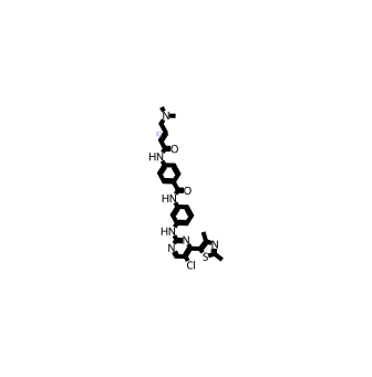 Cc1nc(C)c(-c2nc(Nc3cccc(NC(=O)c4ccc(NC(=O)/C=C/CN(C)C)cc4)c3)ncc2Cl)s1